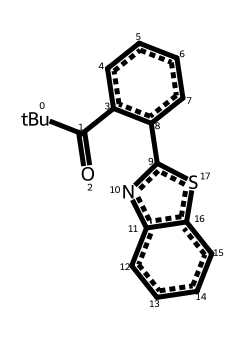 CC(C)(C)C(=O)c1ccccc1-c1nc2ccccc2s1